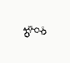 Cn1c(C2CCN(c3ncccc3Cl)CC2)nnc1C1(c2ccccc2)CC1